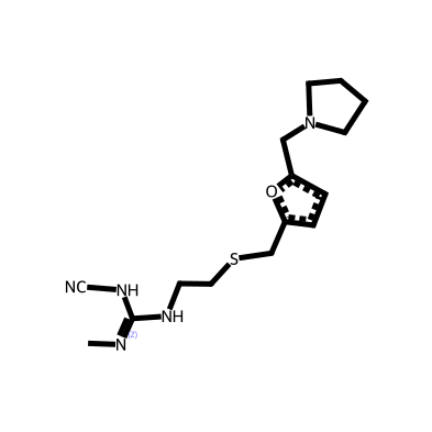 C/N=C(\NC#N)NCCSCc1ccc(CN2CCCC2)o1